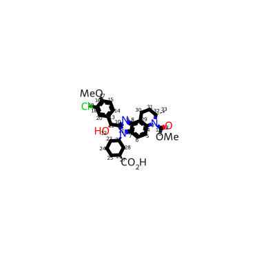 COC(=O)N1c2ccc3c(nc([C@H](O)c4ccc(OC)c(Cl)c4)n3[C@@H]3CCC[C@@H](C(=O)O)C3)c2CC[C@@H]1C